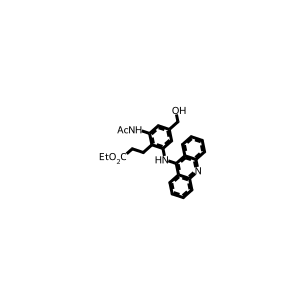 CCOC(=O)CCc1c(NC(C)=O)cc(CO)cc1Nc1c2ccccc2nc2ccccc12